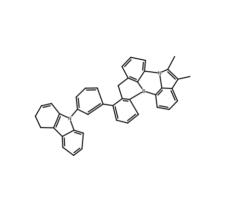 Cc1c(C)n2c3c(cccc13)B1c3cccc(-c4cccc(-n5c6c(c7ccccc75)CCC=C6)c4)c3Cc3cccc-2c31